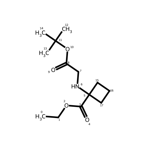 CCOC(=O)C1(NCC(=O)OC(C)(C)C)CCC1